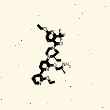 CCOc1ccc(C(=O)N2CCN(c3ccc(-c4cccnc4OCC)nc3OC[C@H](C)N)[C@H](CC)C2)c(C(F)(F)F)n1